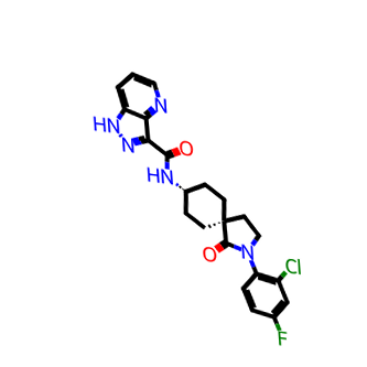 O=C(N[C@H]1CC[C@@]2(CCN(c3ccc(F)cc3Cl)C2=O)CC1)c1n[nH]c2cccnc12